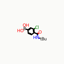 CC(C)(C)NC(=O)c1ccc(B(O)O)cc1Cl